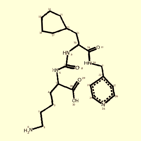 NCCCCC(NC(=O)NC(CC1CCCCC1)C(=O)NCc1ccncc1)C(=O)O